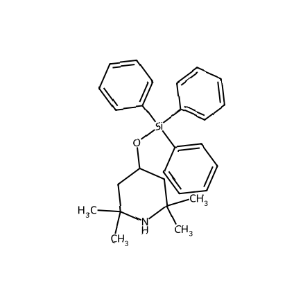 CC1(C)CC(O[Si](c2ccccc2)(c2ccccc2)c2ccccc2)CC(C)(C)N1